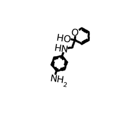 Nc1ccc(NCC2(O)C=CC=CO2)cc1